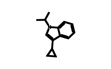 CC(C)n1cc(C2CC2)c2ccccc21